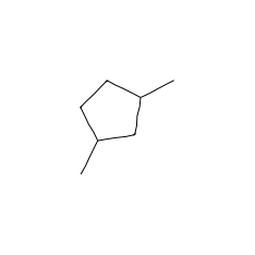 CC1CCC(C)C1